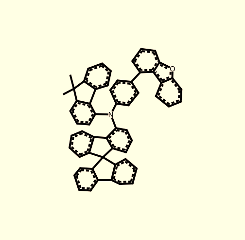 CC1(C)c2ccccc2-c2c(N(c3ccc(-c4cccc5oc6ccccc6c45)cc3)c3cccc4c3-c3ccccc3C43c4ccccc4-c4ccccc43)cccc21